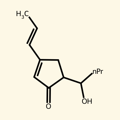 CC=CC1=CC(=O)C(C(O)CCC)C1